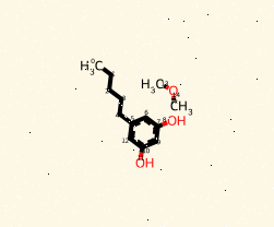 CCCCCc1cc(O)cc(O)c1.COC